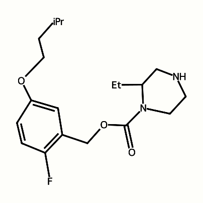 CCC1CNCCN1C(=O)OCc1cc(OCCC(C)C)ccc1F